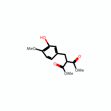 COC(=O)C(Cc1ccc(OC)c(O)c1)C(=O)OC